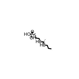 CCCB[C@@H](C)BCCSP(=O)(O)O